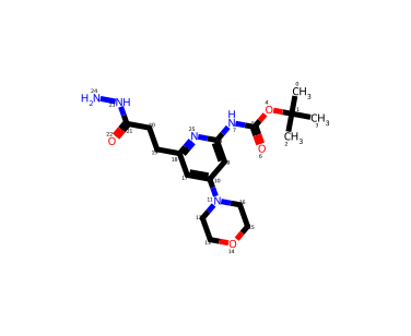 CC(C)(C)OC(=O)Nc1cc(N2CCOCC2)cc(CCC(=O)NN)n1